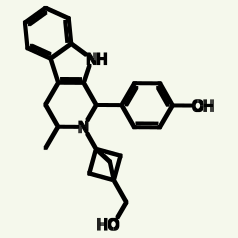 CC1Cc2c([nH]c3ccccc23)C(c2ccc(O)cc2)N1C12CC(CO)(C1)C2